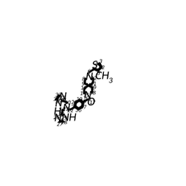 Cc1ccsc1CN1CCC2(CC1)CCN(C(=O)c1ccc(CN(Cc3ncc[nH]3)Cc3ncc[nH]3)cc1)CC2